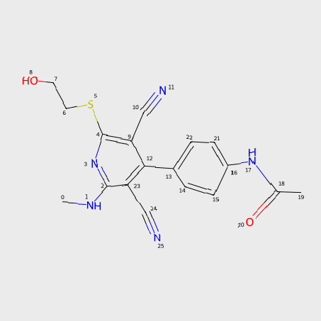 CNc1nc(SCCO)c(C#N)c(-c2ccc(NC(C)=O)cc2)c1C#N